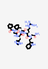 NC(=O)CN(CCc1c[nH]c2ccccc12)C(=O)[C@H](CCCNC(N)N)NC(=O)[C@@H](Cc1ccccc1)NC(=O)[C@H](Cc1cnc[nH]1)NC(=O)CNC(=O)c1ccccc1